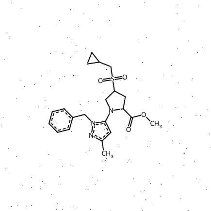 COC(=O)C1CC(S(=O)(=O)CC2CC2)CN1c1cc(C)nn1Cc1ccccc1